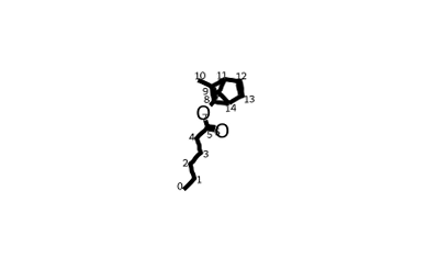 CCCCCC(=O)OC1=C(C)C2C=CC1C2